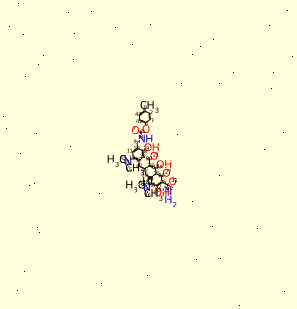 Cc1ccc(OC(=O)NCc2cc(N(C)C)c3c(c2O)C(=O)C2=C(O)C4C(=O)C(C(N)=O)=C(O)[C@@H](N(C)C)[C@@H]4CC2C3)cc1